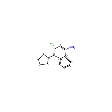 Cl.Nc1ccc(C2CCCC2)c2ccccc12